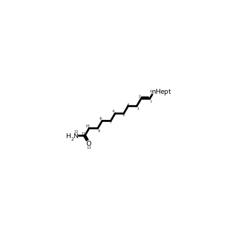 CCCCCCCC=CCCCCCCCCC(N)=O